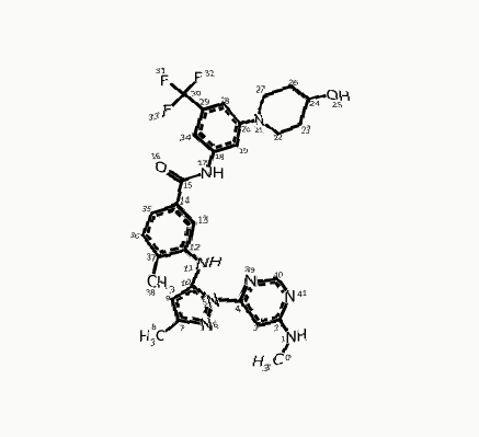 CNc1cc(-n2nc(C)cc2Nc2cc(C(=O)Nc3cc(N4CCC(O)CC4)cc(C(F)(F)F)c3)ccc2C)ncn1